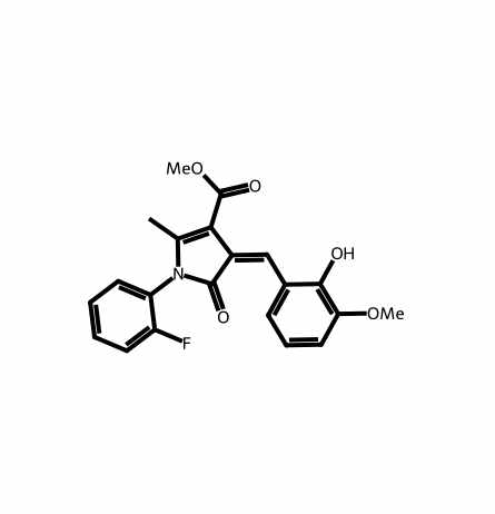 COC(=O)C1=C(C)N(c2ccccc2F)C(=O)/C1=C\c1cccc(OC)c1O